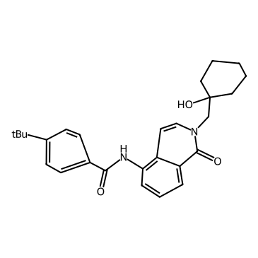 CC(C)(C)c1ccc(C(=O)Nc2cccc3c(=O)n(CC4(O)CCCCC4)ccc23)cc1